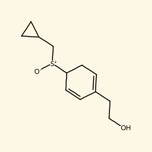 [O-][S+](CC1CC1)C1C=CC(CCO)=CC1